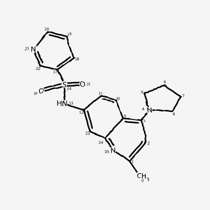 Cc1cc(N2CCCC2)c2ccc(NS(=O)(=O)c3cccnc3)cc2n1